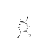 Fc1cnc(Br)cc1Cl